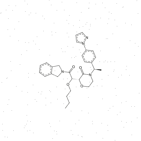 CCCCOC(C(=O)N1Cc2ccccc2C1)[C@H]1OCCN([C@H](C)c2ccc(-n3cccn3)cc2)C1=O